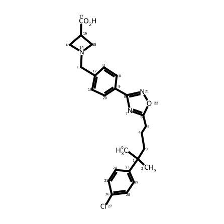 CC(C)(CCCc1nc(-c2ccc(CN3CC(C(=O)O)C3)cc2)no1)c1ccc(Cl)cc1